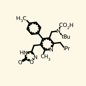 Cc1ccc(-c2c(Cc3noc(=O)[nH]3)c(C)nc(CC(C)C)c2CN(C(=O)O)C(C)(C)C)cc1